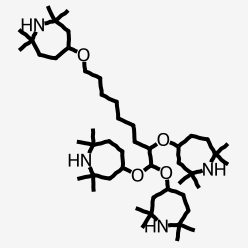 CC1(C)CCC(OCCCCCCCC(OC2CCC(C)(C)NC(C)(C)C2)C(OC2CCC(C)(C)NC(C)(C)C2)OC2CCC(C)(C)NC(C)(C)C2)CC(C)(C)N1